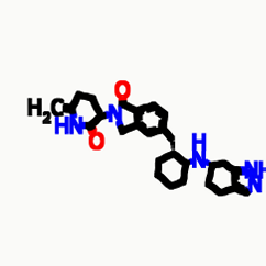 C=C1CCC(N2Cc3cc(C[C@H]4CCCC[C@@H]4N[C@@H]4CCc5cn[nH]c5C4)ccc3C2=O)C(=O)N1